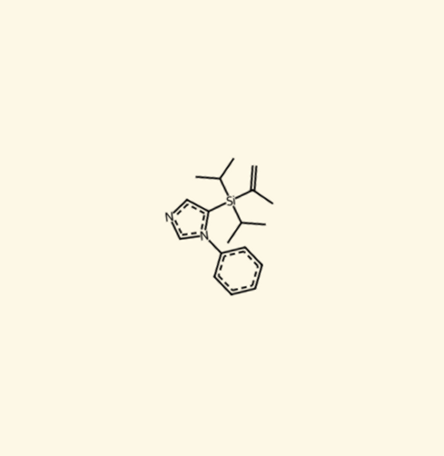 C=C(C)[Si](c1cncn1-c1ccccc1)(C(C)C)C(C)C